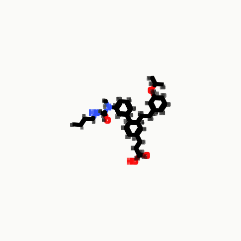 CCCCNC(=O)N(C)c1cccc(-c2ccc(CCC(=O)O)cc2CCc2cccc(OC(C)C)c2)c1